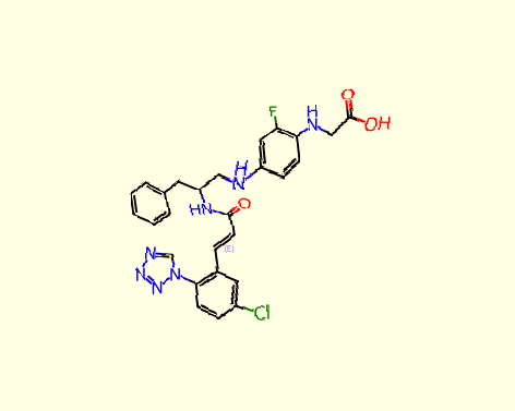 O=C(O)CNc1ccc(NCC(Cc2ccccc2)NC(=O)/C=C/c2cc(Cl)ccc2-n2cnnn2)cc1F